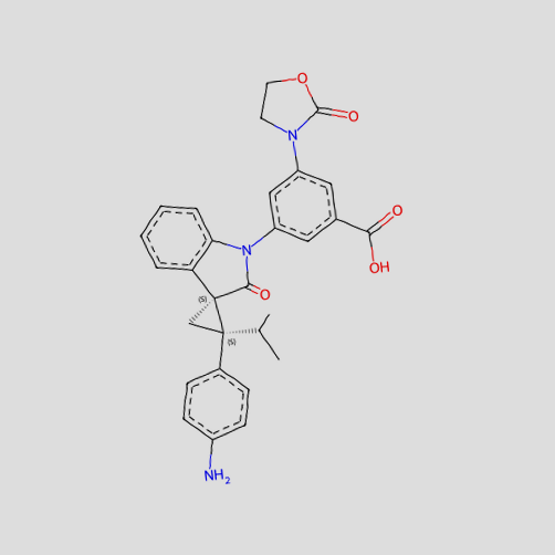 CC(C)[C@]1(c2ccc(N)cc2)C[C@]12C(=O)N(c1cc(C(=O)O)cc(N3CCOC3=O)c1)c1ccccc12